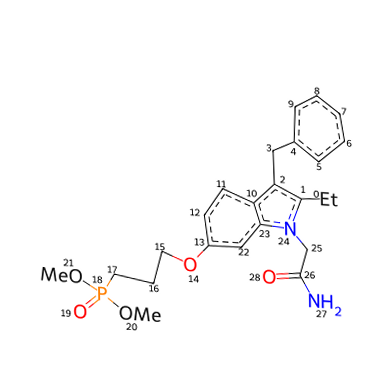 CCc1c(Cc2ccccc2)c2ccc(OCCCP(=O)(OC)OC)cc2n1CC(N)=O